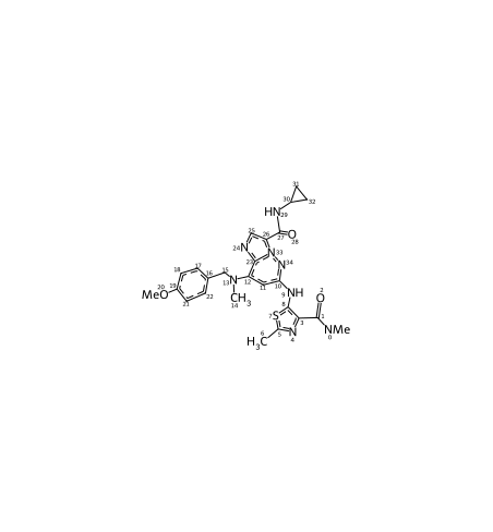 CNC(=O)c1nc(C)sc1Nc1cc(N(C)Cc2ccc(OC)cc2)c2ncc(C(=O)NC3CC3)n2n1